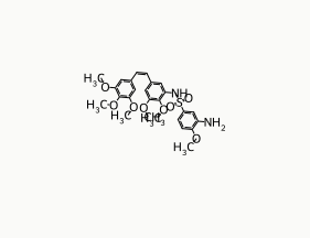 COc1ccc(S(=O)(=O)Nc2cc(/C=C\c3cc(OC)c(OC)c(OC)c3)cc(OC)c2OC)cc1N